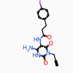 C#CCn1c(=O)[nH]c(N)c(NC(=O)CCc2ccc(I)cc2)c1=O